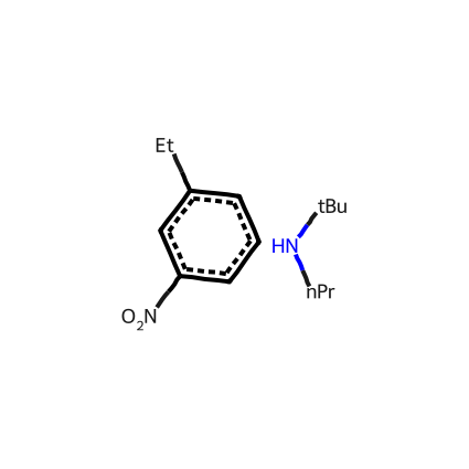 CCCNC(C)(C)C.CCc1cccc([N+](=O)[O-])c1